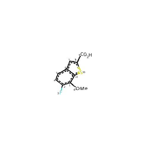 COc1c(F)ccc2cc(C(=O)O)sc12